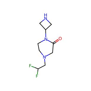 O=C1CN(CC(F)F)CCN1C1CNC1